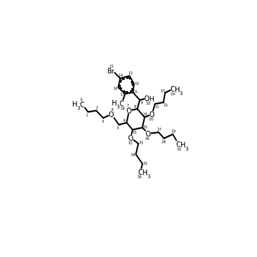 CCCCOCC1OC(C(O)c2ccc(Br)cc2C)C(OCCCC)C(OCCCC)C1OCCCC